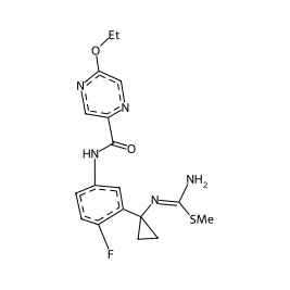 CCOc1cnc(C(=O)Nc2ccc(F)c(C3(/N=C(/N)SC)CC3)c2)cn1